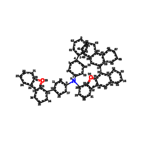 c1ccc(-c2ccc(N(c3ccc(-c4cccc5c4oc4ccccc45)cc3)c3cccc4c3oc3c(-c5cc6ccccc6c6ccccc56)c5ccccc5cc34)cc2)cc1